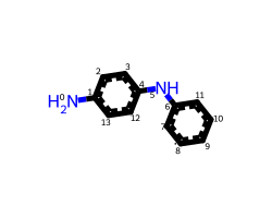 Nc1ccc(Nc2c[c]ccc2)cc1